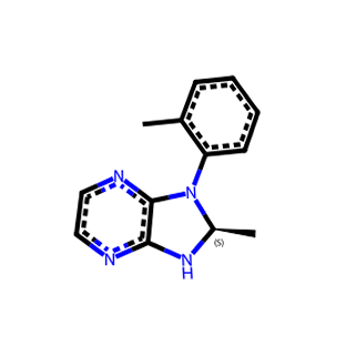 Cc1ccccc1N1c2nccnc2N[C@@H]1C